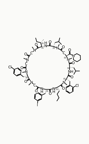 CCCC[C@@H]1NC(=O)[C@H](Cc2cccc(I)c2)NC(=O)CN(C)C(=O)[C@H](Cc2ccc(Cl)cc2)N(C)C(=O)CN(C)C(=O)CN(C)C(=O)[C@H]([C@@H](C)CC)NC(=O)[C@H](CC(C)C)N(C)C(=O)C[C@@H](C(=O)N2CCCCC2)N(C)C(=O)[C@H](CC(C)C)NC(=O)[C@H](Cc2ccccc2Cl)N(C)C1=O